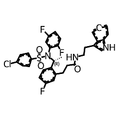 C[C@H](c1ccc(F)cc1CCC(=O)NCCc1c[nH]c2ccccc12)N(c1cc(F)ccc1F)S(=O)(=O)c1ccc(Cl)cc1